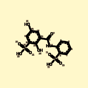 O=C(Nc1ccccc1S(=O)(=O)O)c1cc(O)cc(S(=O)(=O)O)c1O